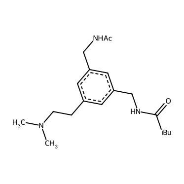 CCC(C)C(=O)NCc1cc(CCN(C)C)cc(CNC(C)=O)c1